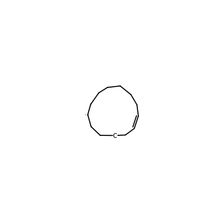 [CH]1CCCCC=CCCCCCC1